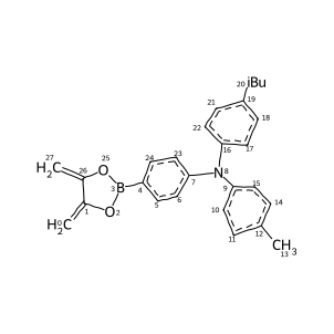 C=C1OB(c2ccc(N(c3ccc(C)cc3)c3ccc(C(C)CC)cc3)cc2)OC1=C